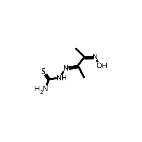 CC(=NO)C(C)=NNC(N)=S